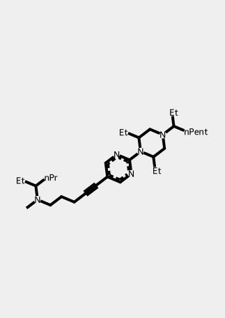 CCCCCC(CC)N1CC(CC)N(c2ncc(C#CCCCN(C)C(CC)CCC)cn2)C(CC)C1